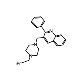 CC(C)CN1CCN(Cc2cc3ccccc3nc2-c2ccccc2)CC1